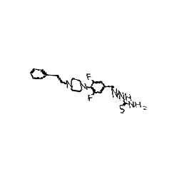 NC(=S)NN=Cc1cc(F)c(N2CCN(CCc3ccccc3)CC2)c(F)c1